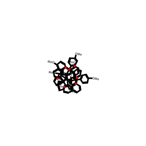 COc1ccc(C(c2ccccc2)(c2ccc(OC)cc2)C(OC(OC)OC)(OC(OC(OC)OC)(C(c2ccccc2)(c2ccccc2)c2ccccc2)C(c2ccccc2)(c2ccc(OC)cc2)c2ccc(OC)cc2)C(c2ccccc2)(c2ccccc2)c2ccccc2)cc1